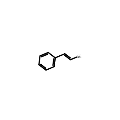 [Si]C=Cc1ccccc1